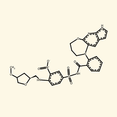 COC1CO[C@H](CNc2ccc(S(=O)(=O)NC(=O)c3ccccc3N3CCCOc4nc5[nH]ccc5cc43)cc2[N+](=O)[O-])C1